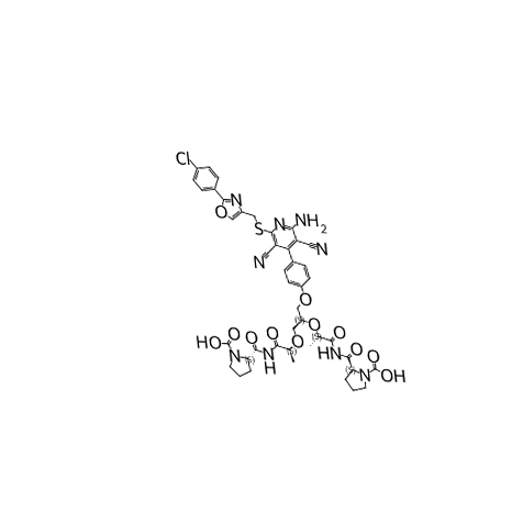 C[C@H](OC[C@@H](COc1ccc(-c2c(C#N)c(N)nc(SCc3coc(-c4ccc(Cl)cc4)n3)c2C#N)cc1)O[C@@H](C)C(=O)NC(=O)[C@@H]1CCCN1C(=O)O)C(=O)NC(=O)[C@@H]1CCCN1C(=O)O